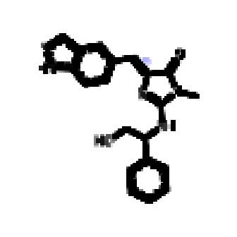 CN1C(=O)/C(=C/c2ccc3[nH]ncc3c2)N=C1NC(CO)c1ccccc1